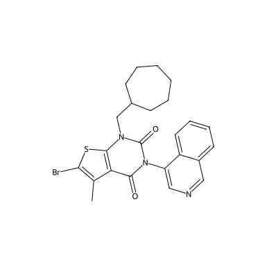 Cc1c(Br)sc2c1c(=O)n(-c1cncc3ccccc13)c(=O)n2CC1CCCCCC1